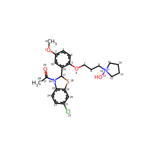 COc1ccc(OCCC[N+]2(O)CCCC2)c(C2Sc3cc(Cl)ccc3N2C(C)=O)c1